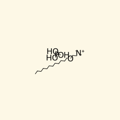 CCCCCCCCCCCCOCC[N+](C)(C)C.OP(O)O